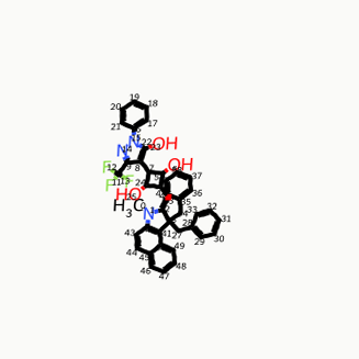 CN1C(=CC2C(O)C(c3c(C(F)(F)F)nn(-c4ccccc4)c3O)C2O)C(Cc2ccccc2)(Cc2ccccc2)c2c1ccc1ccccc21